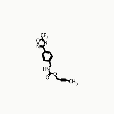 CC#CCOC(=O)NCc1ccc(-c2noc(C(F)(F)F)n2)cc1